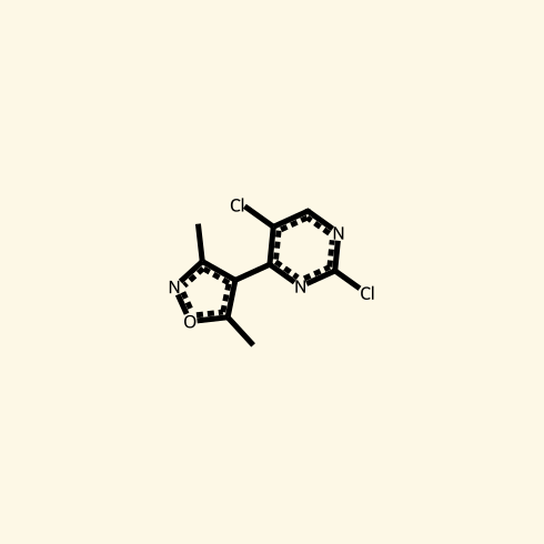 Cc1noc(C)c1-c1nc(Cl)ncc1Cl